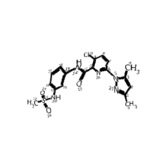 Cc1cc(C)n(-c2ccc(Cl)c(C(=O)Nc3cccc(NS(C)(=O)=O)c3)n2)n1